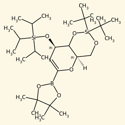 CC(C)[Si](O[C@@H]1C=C(B2OC(C)(C)C(C)(C)O2)O[C@@H]2CO[Si](C(C)(C)C)(C(C)(C)C)OC12)(C(C)C)C(C)C